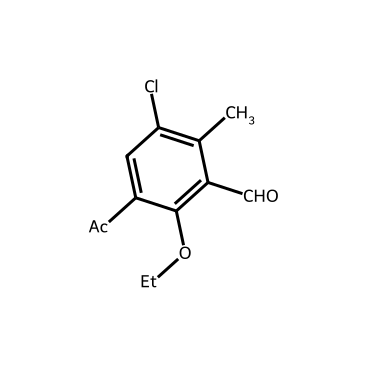 CCOc1c(C(C)=O)cc(Cl)c(C)c1C=O